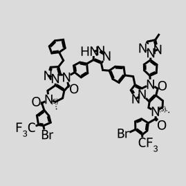 Cc1cnn(-c2ccc(-n3c(=O)c4c(n5ncc(Cc6ccc(Cc7nn[nH]c7-c7ccc(-n8c(=O)c9c(n%10ncc(Cc%11ccccc%11)c8%10)CN(C(=O)c8ccc(Br)c(C(F)(F)F)c8)[C@@H](C)C9)cc7)cc6)c35)CN(C(=O)c3ccc(Br)c(C(F)(F)F)c3)[C@@H](C)C4)cc2)n1